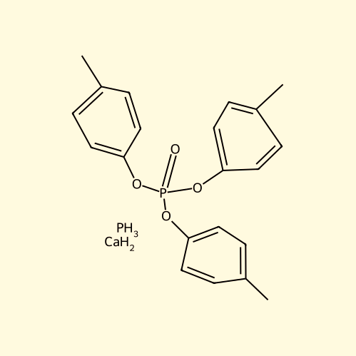 Cc1ccc(OP(=O)(Oc2ccc(C)cc2)Oc2ccc(C)cc2)cc1.P.[CaH2]